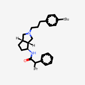 CC(C)C(C(=O)N[C@H]1CC[C@@H]2CN(CCCc3ccc(C(C)(C)C)cc3)C[C@@H]21)c1ccccc1